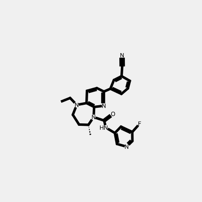 CCN1CC[C@@H](C)N(C(=O)Nc2cncc(F)c2)c2nc(-c3cccc(C#N)c3)ccc21